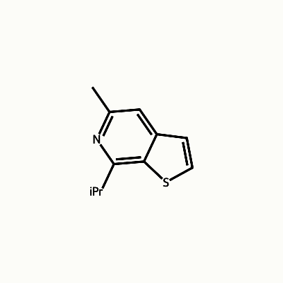 Cc1cc2ccsc2c(C(C)C)n1